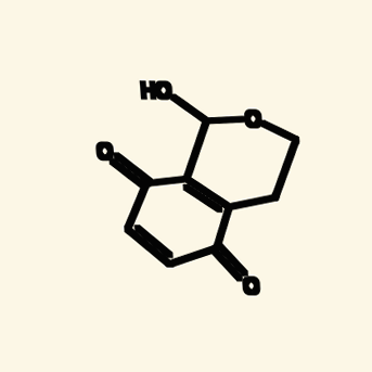 O=C1C=CC(=O)C2=C1CCOC2O